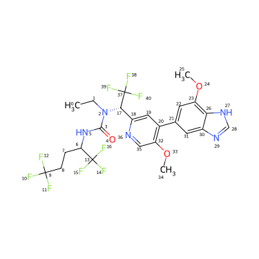 CCN(C(=O)NC(CCC(F)(F)F)C(F)(F)F)[C@@H](c1cc(-c2cc(OC)c3[nH]cnc3c2)c(OC)cn1)C(F)(F)F